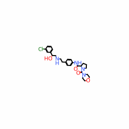 O=C(Nc1ccc(CCNCC(O)c2cccc(Cl)c2)cc1)C1CCCN1C(=O)N1CCOCC1